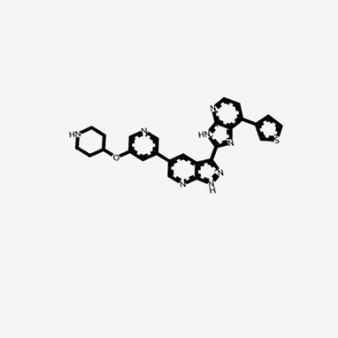 c1cc(-c2ccsc2)c2nc(-c3n[nH]c4ncc(-c5cncc(OC6CCNCC6)c5)cc34)[nH]c2n1